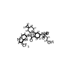 O=C(Nc1ccn2ncc(C(F)(F)F)c2n1)c1ccc(NS(=O)(=O)CCO)cc1N1CCC2(CC1)CC2